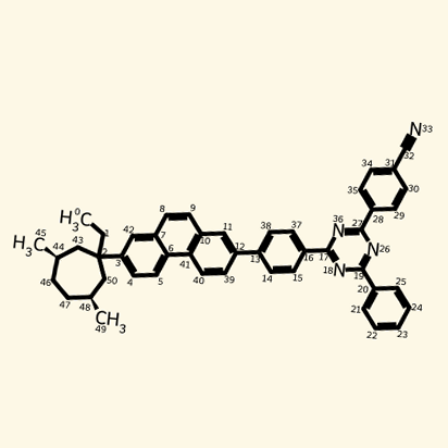 CCC1(c2ccc3c(ccc4cc(-c5ccc(-c6nc(-c7ccccc7)nc(-c7ccc(C#N)cc7)n6)cc5)ccc43)c2)C[C@H](C)CC[C@H](C)C1